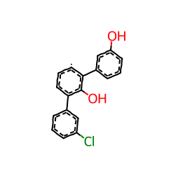 Oc1cccc(-c2[c]ccc(-c3cccc(Cl)c3)c2O)c1